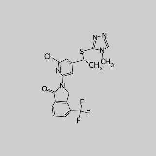 CC(Sc1nncn1C)c1cc(Cl)nc(N2Cc3c(cccc3C(F)(F)F)C2=O)c1